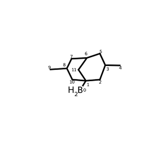 BC12CC(C)CC(CC(C)C1)C2